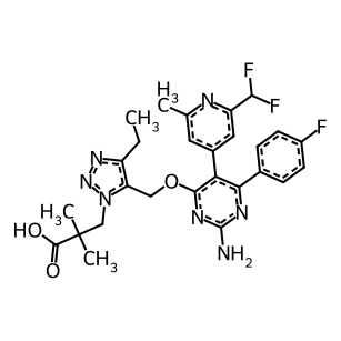 CCc1nnn(CC(C)(C)C(=O)O)c1COc1nc(N)nc(-c2ccc(F)cc2)c1-c1cc(C)nc(C(F)F)c1